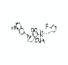 O=C(NCCc1ccccc1F)[C@@]1(O)CCN(c2ccc3[nH]ccc3c2)C1=O